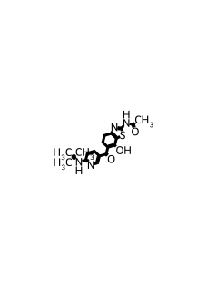 CC(=O)Nc1nc2c(s1)C(O)=C(C(=O)c1ccc(NC(C)(C)C)nc1)CC2